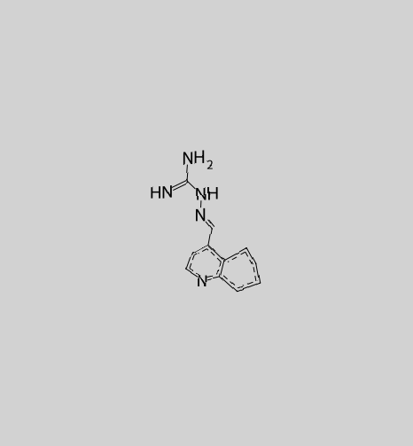 N=C(N)NN=Cc1ccnc2ccccc12